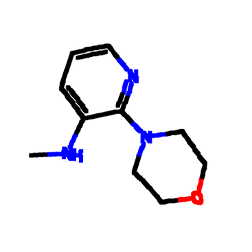 CNc1cccnc1N1CCOCC1